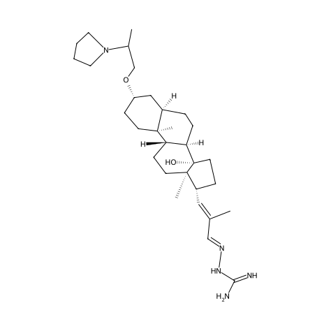 CC(/C=N/NC(=N)N)=C\[C@H]1CC[C@]2(O)[C@@H]3CC[C@@H]4C[C@@H](OCC(C)N5CCCC5)CC[C@]4(C)[C@H]3CC[C@]12C